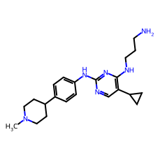 CN1CCC(c2ccc(Nc3ncc(C4CC4)c(NCCCN)n3)cc2)CC1